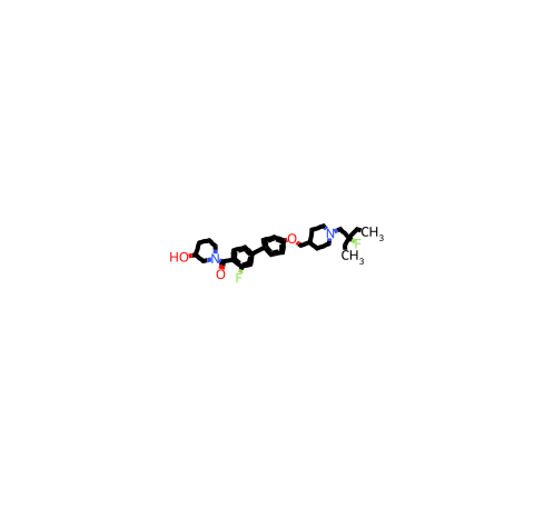 CCC(F)(CC)CN1CCC(COc2ccc(-c3ccc(C(=O)N4CCCC(O)C4)c(F)c3)cc2)CC1